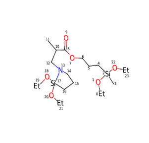 CCO[Si](C)(CCCOC(=O)C(C)CN1CCC[Si]1(OCC)OCC)OCC